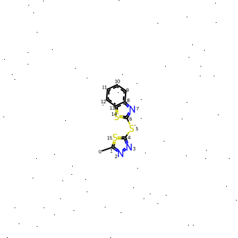 Cc1nnc(Sc2nc3ccccc3s2)s1